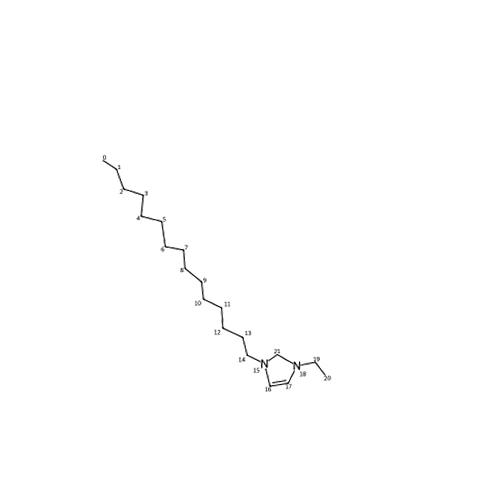 CCCCCCCCCCCCCCCN1C=CN(CC)C1